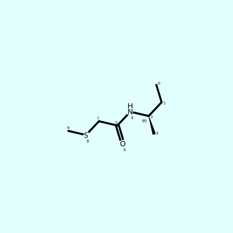 CC[C@@H](C)NC(=O)CSC